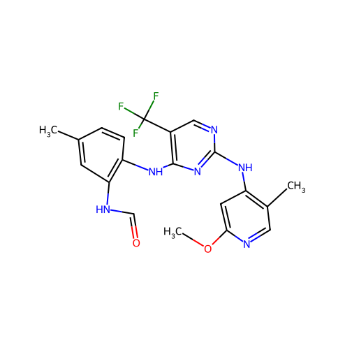 COc1cc(Nc2ncc(C(F)(F)F)c(Nc3ccc(C)cc3NC=O)n2)c(C)cn1